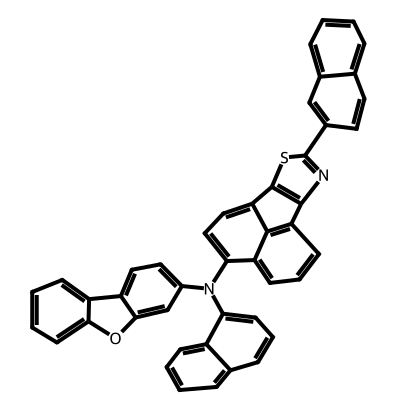 c1ccc2cc(-c3nc4c(s3)-c3ccc(N(c5ccc6c(c5)oc5ccccc56)c5cccc6ccccc56)c5cccc-4c35)ccc2c1